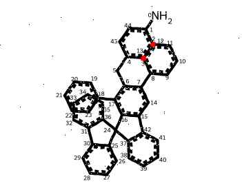 Nc1ccc(Cc2c(-c3ccccc3)cc3c(c2-c2ccccc2)C2(c4ccccc4-c4ccccc42)c2ccccc2-3)cc1